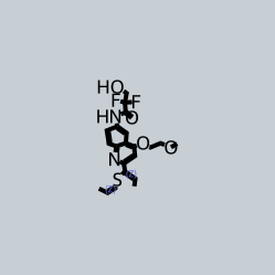 C/C=C\S/C(=C\C)c1cc(OCCOC)c2cc(NC(=O)C(F)(F)CO)ccc2n1